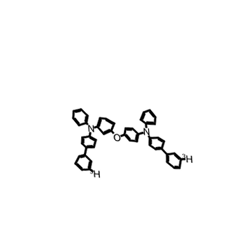 [3H]c1cccc(-c2ccc(N(c3ccccc3)c3ccc(Oc4cccc(N(c5ccccc5)c5ccc(-c6cccc([3H])c6)cc5)c4)cc3)cc2)c1